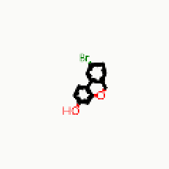 Oc1ccc2c(c1)OCc1ccc(Br)cc1-2